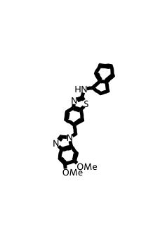 COc1cc2ncn(Cc3ccc4nc(NC5CCc6ccccc65)sc4c3)c2cc1OC